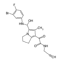 C#CCNC(=O)C(=O)c1c(C)c(C(O)Nc2ccc(F)c(Br)c2)n2c1CCC2